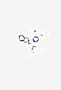 COC(=O)C(C)N(C(=O)C1(N)Cc2ccccc2C1)c1ccc(OC(C)=O)c(OC(C)=O)c1.Cl